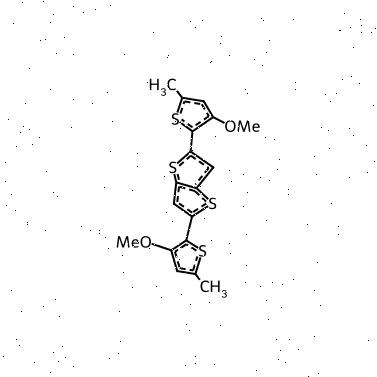 COc1cc(C)sc1-c1cc2sc(-c3sc(C)cc3OC)cc2s1